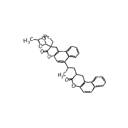 CC(C)CC1(C2OC(C)O2)Cc2c(cc(C(C)CC3Cc4c(ccc5ccccc45)OC3=O)c3ccccc23)OC1=O